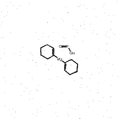 C1=[C]([Mg][C]2=CCCCC2)CCCC1.O=PO